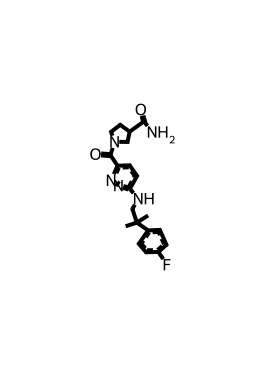 CC(C)(CNc1ccc(C(=O)N2CCC(C(N)=O)C2)nn1)c1ccc(F)cc1